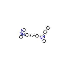 c1ccc(-c2ccc(-c3cc(-c4ccc(-c5ccc(-c6ccc(-n7c(-c8ccccn8)nc8ccccc87)cc6)cc5)cc4)nc(-c4ccccc4)n3)cc2)cc1